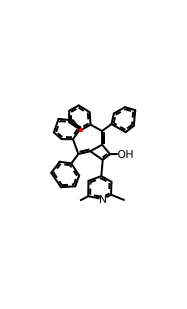 Cc1cc(C2=C(O)C(=C(c3ccccc3)c3ccccc3)C2=C(c2ccccc2)c2ccccc2)cc(C)n1